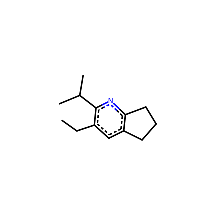 CCc1cc2c(nc1C(C)C)CCC2